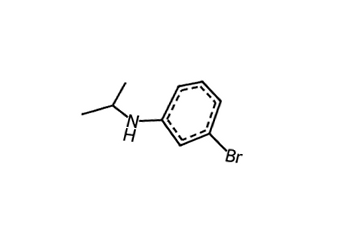 CC(C)Nc1cccc(Br)c1